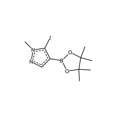 Cn1ncc(B2OC(C)(C)C(C)(C)O2)c1I